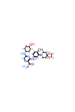 Cc1ccc(Nc2nc(N[C@H]3CC[C@H](O)CC3)cnc2C(N)=O)cc1N1CCC2(CC1)OCCO2